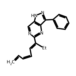 C=C/C=C\C=C(/CC)c1ncc2[nH]nc(-c3ccccc3)c2n1